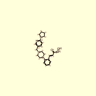 O=C(/C=C/c1ccccc1N1CCN(Cc2ccc(N3CCCC3)nc2)CC1)NO